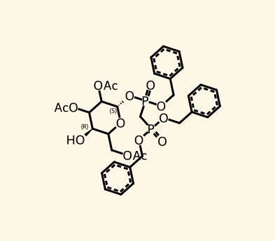 CC(=O)OCC1O[C@@H](OP(=O)(CP(=O)(OCc2ccccc2)OCc2ccccc2)OCc2ccccc2)C(OC(C)=O)C(OC(C)=O)[C@@H]1O